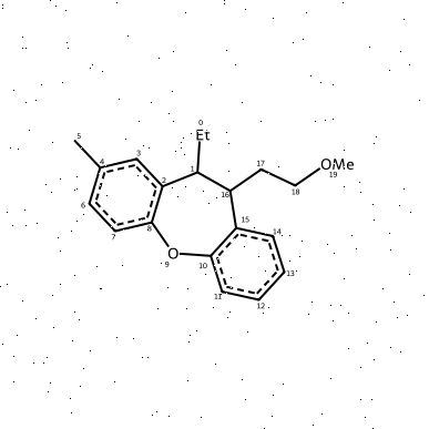 CCC1c2cc(C)ccc2Oc2ccccc2C1CCOC